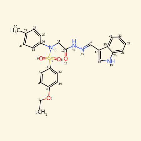 CCOc1ccc(S(=O)(=O)N(CC(=O)NN=Cc2c[nH]c3ccccc23)c2ccc(C)cc2)cc1